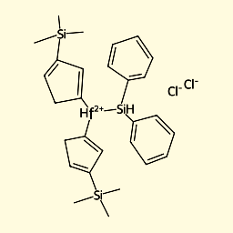 C[Si](C)(C)C1=CC[C]([Hf+2]([C]2=CC([Si](C)(C)C)=CC2)[SiH](c2ccccc2)c2ccccc2)=C1.[Cl-].[Cl-]